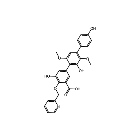 COc1cc(-c2ccc(O)cc2)c(OC)c(O)c1-c1cc(O)c(OCc2ccccn2)c(C(=O)O)c1